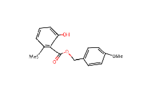 COc1ccc(COC(=O)c2c(O)cccc2SC)cc1